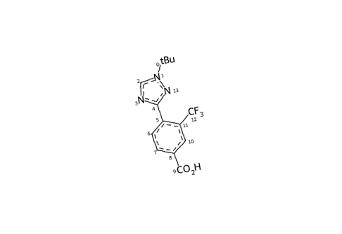 CC(C)(C)n1cnc(-c2ccc(C(=O)O)cc2C(F)(F)F)n1